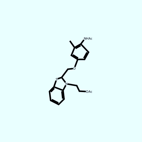 CC(=O)Nc1ccc(OCC2Sc3ccccc3N2CCOC(C)=O)cc1C